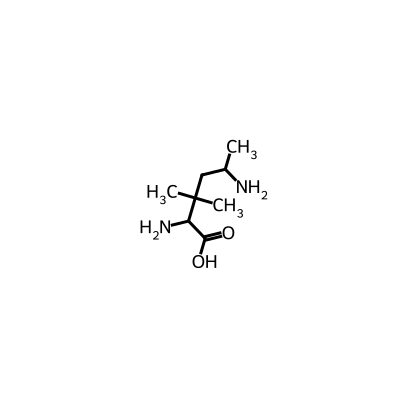 CC(N)CC(C)(C)C(N)C(=O)O